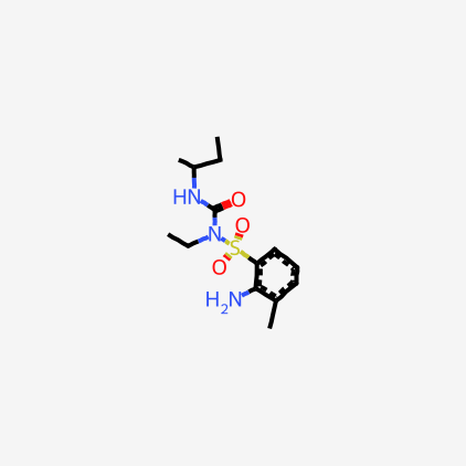 CCC(C)NC(=O)N(CC)S(=O)(=O)c1cccc(C)c1N